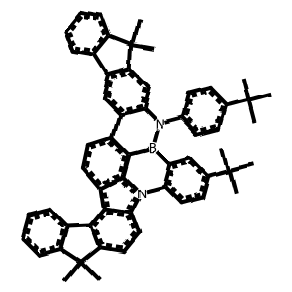 CC(C)(C)c1ccc(N2B3c4cc(C(C)(C)C)ccc4-n4c5ccc6c(c5c5ccc(c3c54)-c3cc4c(cc32)C(C)(C)c2ccccc2-4)-c2ccccc2C6(C)C)cc1